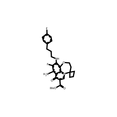 COC(=O)c1cn2c3c(c(NCCCc4ccc(F)cc4)c(F)c(N)c3c1=O)OCCC21CCC1